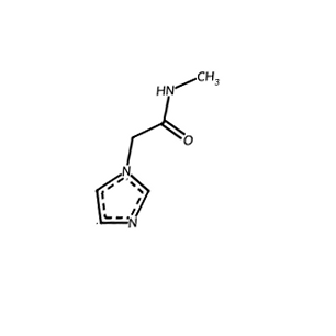 CNC(=O)Cn1c[c]nc1